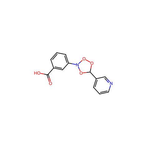 O=C(O)c1cccc(N2OOC(c3cccnc3)O2)c1